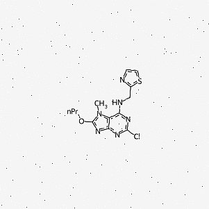 CCCOc1nc2nc(Cl)nc(NCc3nccs3)c2n1C